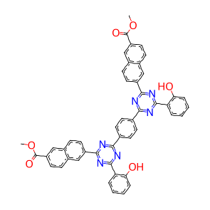 COC(=O)c1ccc2cc(-c3nc(-c4ccc(-c5nc(-c6ccc7cc(C(=O)OC)ccc7c6)nc(-c6ccccc6O)n5)cc4)nc(-c4ccccc4O)n3)ccc2c1